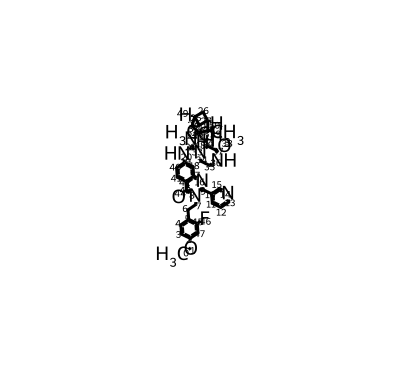 COc1ccc(CCn2c(-c3cccnc3)nc3cc(N/C(=N/[C@H]4C[C@@H]5C[C@H]([C@@H]4C)C5(C)C)N4CCNC(=O)C4)ccc3c2=O)c(F)c1